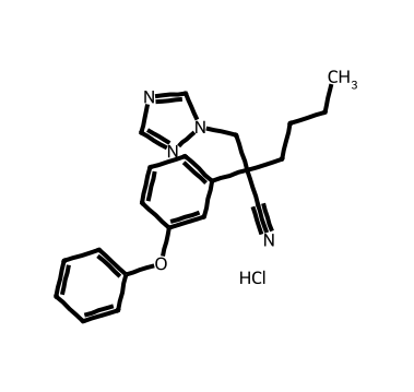 CCCCC(C#N)(Cn1cncn1)c1cccc(Oc2ccccc2)c1.Cl